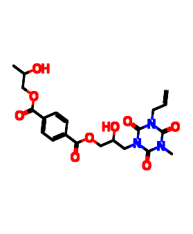 C=CCn1c(=O)n(C)c(=O)n(CC(O)COC(=O)c2ccc(C(=O)OCC(C)O)cc2)c1=O